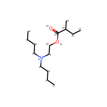 CCCCN(CCCC)CCOC(=O)C(C)CC